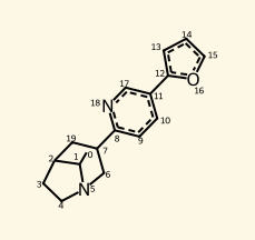 CC1C2CCN1CC(c1ccc(-c3ccco3)cn1)C2